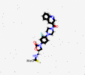 COC(=S)NC[C@H]1CN(c2ccc(N3CCN(C(=O)c4cnc5ccccc5c4)CC3)c(F)c2)C(=O)O1